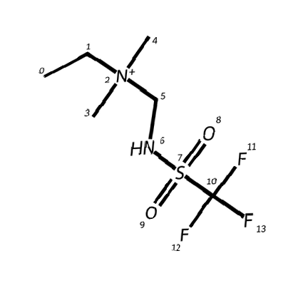 CC[N+](C)(C)CNS(=O)(=O)C(F)(F)F